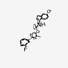 COc1ccc2c(ccn2NC(=O)Oc2cnc(-c3cccc(F)c3)nc2C)c1